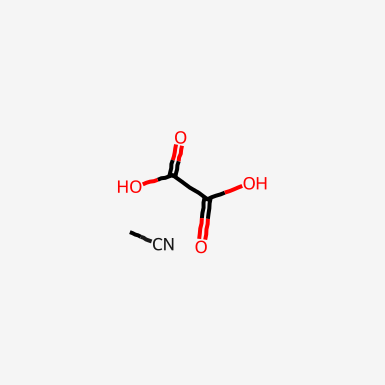 CC#N.O=C(O)C(=O)O